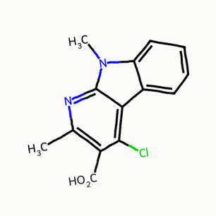 Cc1nc2c(c(Cl)c1C(=O)O)c1ccccc1n2C